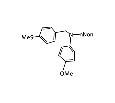 CCCCCCCCCN(Cc1ccc(SC)cc1)c1ccc(OC)cc1